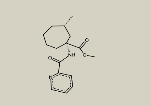 COC(=O)[C@@]1(NC(=O)c2ccccn2)CCCC[C@H](C)C1